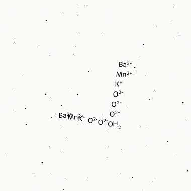 O.[Ba+2].[Ba+2].[K+].[K+].[Mn+2].[Mn+2].[O-2].[O-2].[O-2].[O-2].[O-2]